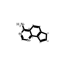 Nc1ncnc2c3c(ccc12)CC=C3